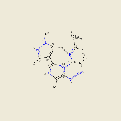 COc1ccc2nnc3c(C)nc(-c4c(C)nn(C)c4C)n3c2n1